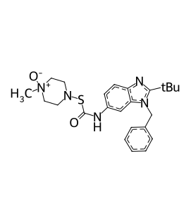 CC(C)(C)c1nc2ccc(NC(=O)SN3CC[N+](C)([O-])CC3)cc2n1Cc1ccccc1